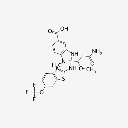 COC(CC(N)=O)C1(Nc2nc3ccc(OC(F)(F)F)cc3s2)Nc2cc(C(=O)O)ccc2N1C